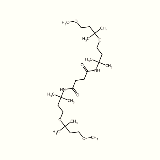 COCCC(C)(C)OCCC(C)(C)NC(=O)CCC(=O)NC(C)(C)CCOC(C)(C)CCOC